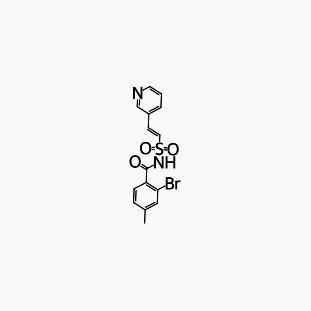 Cc1ccc(C(=O)NS(=O)(=O)/C=C/c2cccnc2)c(Br)c1